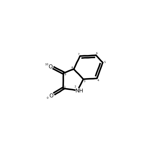 O=C1NC2C=CC=CC2C1=O